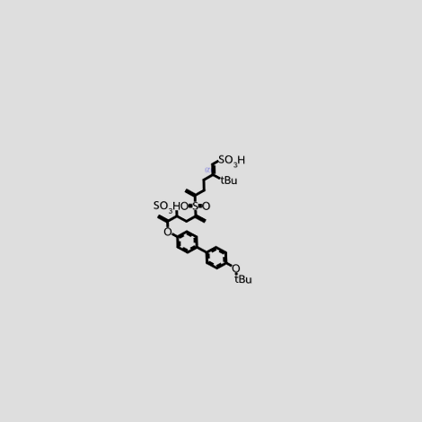 C=C(Oc1ccc(-c2ccc(OC(C)(C)C)cc2)cc1)C(CC(=C)S(=O)(=O)C(=C)CC/C(=C/S(=O)(=O)O)C(C)(C)C)S(=O)(=O)O